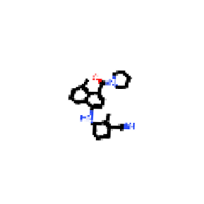 Cc1c(C#N)cccc1Nc1ccc(C(=O)N2CCCCC2)c2c(C)cccc12